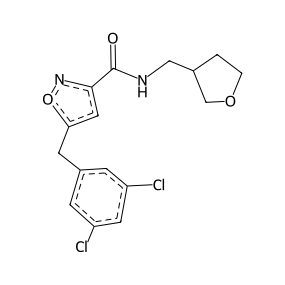 O=C(NCC1CCOC1)c1cc(Cc2cc(Cl)cc(Cl)c2)on1